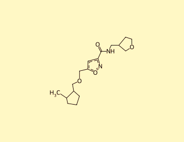 CC1CCCC1COCc1cc(C(=O)NCC2CCOC2)no1